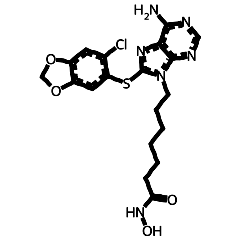 Nc1ncnc2c1nc(Sc1cc3c(cc1Cl)OCO3)n2CCCCCCC(=O)NO